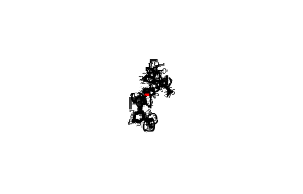 COC(=O)c1cccc(-c2noc(C34CCC(OCc5c(-c6ccccc6OC(F)(F)F)noc5C5CC5)(CC3)CC4)n2)c1